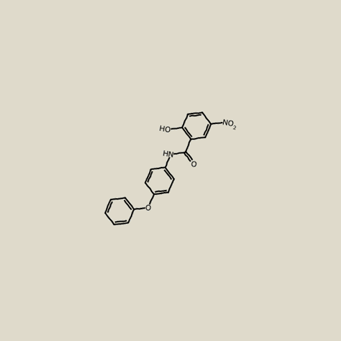 O=C(Nc1ccc(Oc2ccccc2)cc1)c1cc([N+](=O)[O-])ccc1O